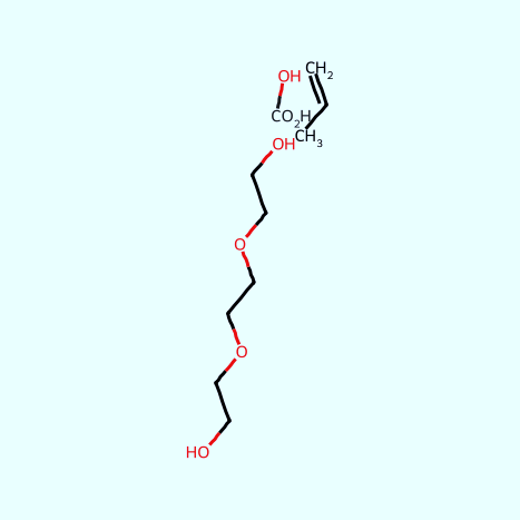 C=CC.O=C(O)O.OCCOCCOCCO